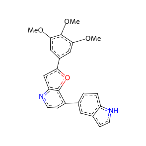 COc1cc(-c2cc3nccc(-c4ccc5[nH]ccc5c4)c3o2)cc(OC)c1OC